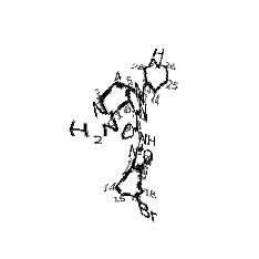 Nc1nccc2c1c(C(=O)Nc1nc3ccc(Br)cc3o1)nn2[C@@H]1CCCNC1